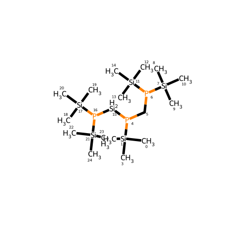 C[Si](C)(C)P(CP([Si](C)(C)C)[Si](C)(C)C)[SiH2]P([Si](C)(C)C)[Si](C)(C)C